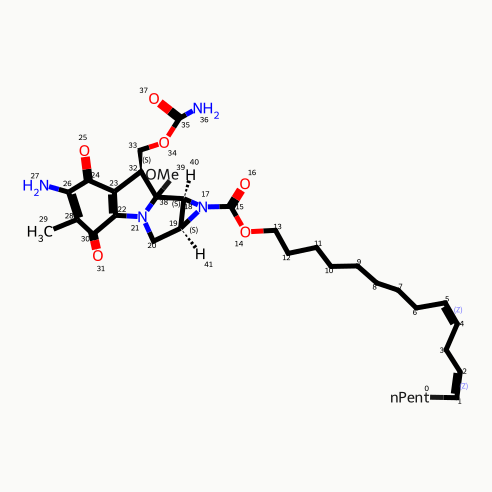 CCCCC/C=C\C/C=C\CCCCCCCCOC(=O)N1[C@H]2[C@@H]1CN1C3=C(C(=O)C(N)=C(C)C3=O)[C@@H](COC(N)=O)C21OC